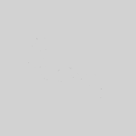 CC(OC(=O)Nc1ccc(-c2ncn(-c3ccc(OC(F)(F)F)cc3)n2)cc1)c1ccc(-c2ccccc2)cc1